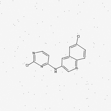 Clc1ccc2ncc(Nc3ccnc(Cl)n3)cc2c1